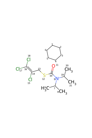 C1CCCCC1.CC(C)N(C(=O)SCC(Cl)=C(Cl)Cl)C(C)C